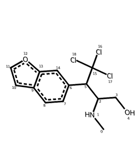 CNC(CO)C(c1ccc2ccoc2c1)C(Cl)(Cl)Cl